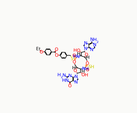 CCOc1ccc(C(=O)Oc2ccc(CS[P@@]3(=O)N[C@@H]4[C@@H](O)[C@H](n5cnc6c(N)ncnc65)O[C@@H]4CO[P@](=O)(S)N[C@H]4[C@@H](O)[C@H](n5cnc6c(=O)[nH]c(N)nc65)O[C@@H]4CO3)cc2)cc1